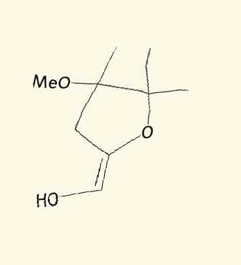 COC1(C)C/C(=C\O)OC1(C)C